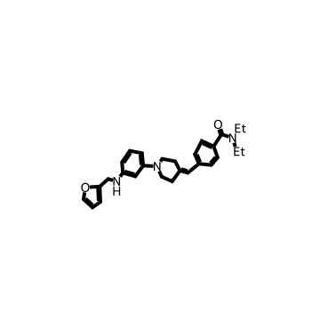 CCN(CC)C(=O)c1ccc(C=C2CCN(c3cccc(NCc4ccco4)c3)CC2)cc1